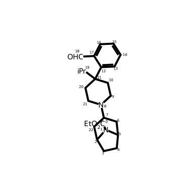 CCOC(=O)N1C2CCC1CC(N1CCC(c3ccccc3C=O)(C(C)C)CC1)C2